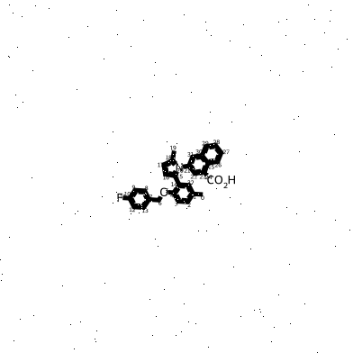 Cc1ccc(OCc2ccc(F)cc2)c(-c2ccc(C)n2-c2cc(C(=O)O)c3ccccc3c2)c1